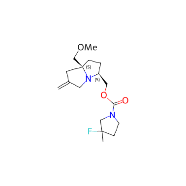 C=C1CN2[C@H](COC(=O)N3CCC(C)(F)C3)CC[C@@]2(COC)C1